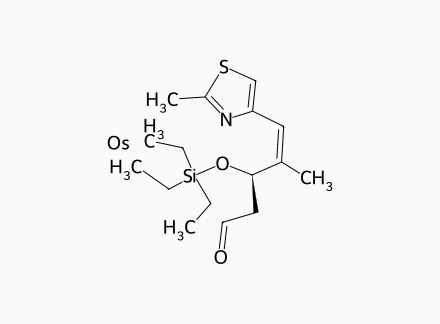 CC[Si](CC)(CC)O[C@H](CC=O)C(C)=Cc1csc(C)n1.[Os]